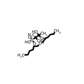 CC(O)(O)C(C)(C)S(=O)(=O)O.CCCCCCOCCCCCC